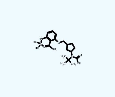 CC(C)(C)N(C(=O)O)C1CCC(COc2cccc3c2C(N)=NS(O)(O)N3)C1